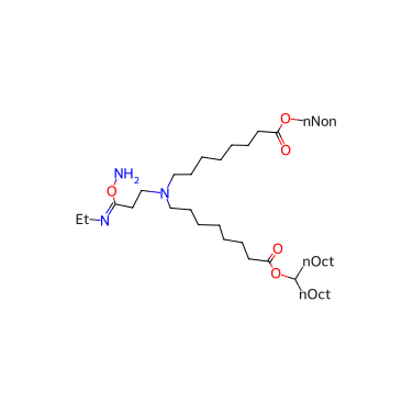 CCCCCCCCCOC(=O)CCCCCCCN(CCCCCCCC(=O)OC(CCCCCCCC)CCCCCCCC)CC/C(=N/CC)ON